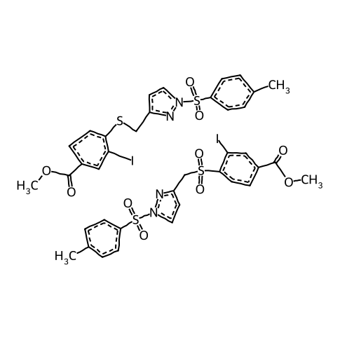 COC(=O)c1ccc(S(=O)(=O)Cc2ccn(S(=O)(=O)c3ccc(C)cc3)n2)c(I)c1.COC(=O)c1ccc(SCc2ccn(S(=O)(=O)c3ccc(C)cc3)n2)c(I)c1